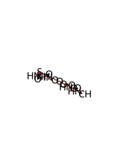 C#CCNC(=O)COCC(=O)NCCCOCCOCCOCCCNC(=O)CCCCC1SCC2NC(=O)NC21